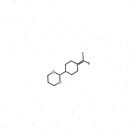 FC(F)=C1CCC(C2OCCCO2)CC1